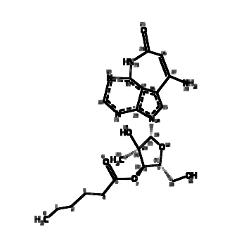 CCCCCC(=O)O[C@@H]1[C@@H](CO)O[C@@H](n2cc3c4c(ncnc42)NC(=O)C=C3N)[C@]1(C)O